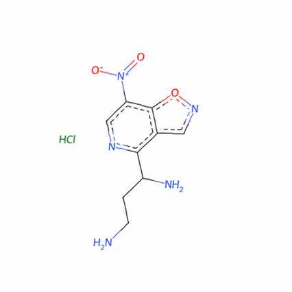 Cl.NCCC(N)c1ncc([N+](=O)[O-])c2oncc12